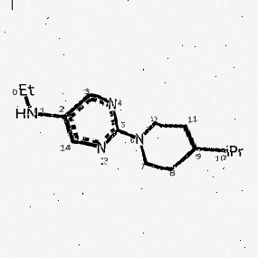 CCNc1cnc(N2CCC(C(C)C)CC2)nc1